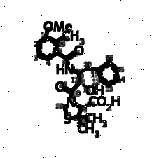 COc1cccc(C(=O)N[C@@H](Cc2ccccc2)[C@H](O)C(=O)N2CSC(C)(C)[C@H]2C(=O)O)c1C